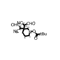 CC(C)(C)C(=O)ON1CCCC(C(C#N)C=O)(C(C#N)C=O)C1